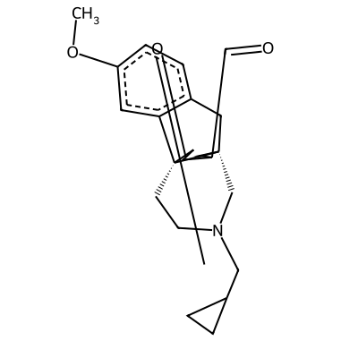 COc1ccc2c(c1)[C@]13CCN(CC4CC4)C[C@@]1(C2)CC(C=O)C(=O)C3